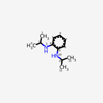 CC(C)Nc1ccccc1NC(C)C